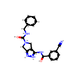 N#Cc1cccc(C(=O)Nc2[nH]nc3c2CN(C(=O)NCc2ccccc2)C3)c1